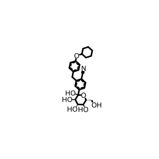 N#Cc1ccc([C@]2(O)O[C@H](CO)[C@@H](O)[C@H](O)[C@H]2O)cc1Cc1ccc(OC2CCCCC2)cc1